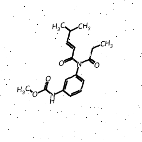 CCC(=O)N(C(=O)C=CC(C)C)c1cccc(NC(=O)OC)c1